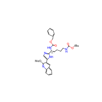 COc1nc2ccccc2cc1-c1cnc([C@H](CCCCNC(=O)OC(C)(C)C)NC(=O)OCc2ccccc2)[nH]1